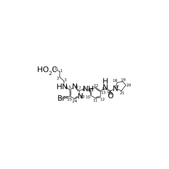 O=C(O)CCCNc1nc(Nc2cccc(NC(=O)N3CCCC3)c2)ncc1Br